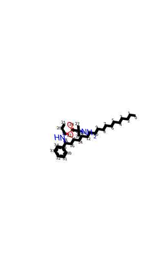 CCCCCCCCCCCCCCCCCC(NC(CC)OC(=O)C(C)(C)N)c1ccccc1